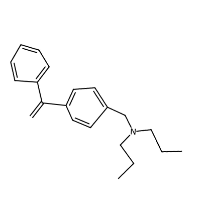 C=C(c1ccccc1)c1ccc(CN(CCC)CCC)cc1